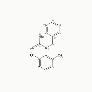 Cc1cccc(C)c1N(Cc1cccnc1)C(=O)C(C)(C)C